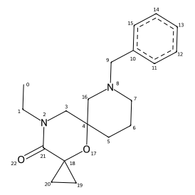 CCN1CC2(CCCN(Cc3ccccc3)C2)OC2(CC2)C1=O